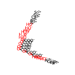 O.O.O.O=C([O-])[O-].O=C([O-])[O-].O=C([O-])[O-].O=C([O-])[O-].O=C([O-])[O-].O=C([O-])[O-].O=C([O-])[O-].[Al+3].[Al+3].[Al+3].[Ca+2].[Ca+2].[Ca+2].[OH-].[OH-].[OH-].[OH-].[OH-].[OH-].[OH-].[Sr+2].[Sr+2].[Sr+2]